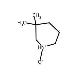 CC1(C)CCC[NH+]([O-])C1